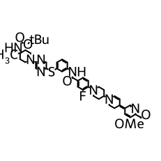 COC(=O)C1C=CC(=C2C=CN(C3CCN(c4ccc(C(=O)Nc5cccc(Sc6cnc(N7CCC(C)(NC(=O)OC(C)(C)C)CC7)cn6)c5)cc4F)CC3)CC2)C=N1